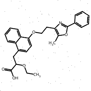 CCOC(Cc1ccc(OCCc2nc(-c3ccccc3)oc2C)c2ccccc12)C(=O)O